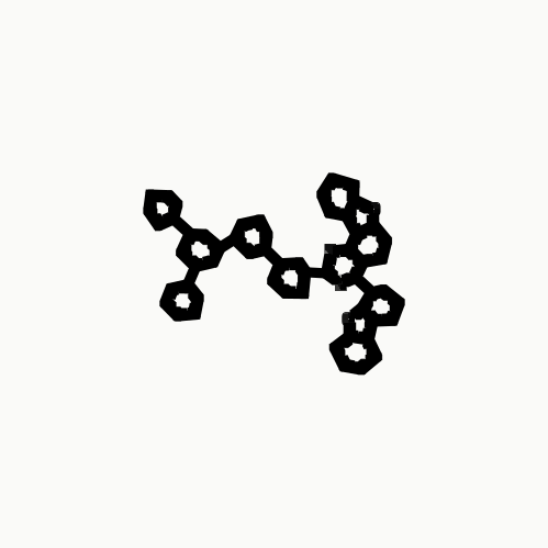 c1ccc(-c2cc(-c3ccccc3)cc(-c3cccc(-c4cccc(-c5nc(-c6cccc7c6oc6ccccc67)c6ccc7oc8ccccc8c7c6n5)c4)c3)c2)cc1